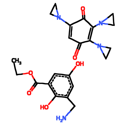 CCOC(=O)c1cc(O)cc(CN)c1O.O=C1C=C(N2CC2)C(=O)C(N2CC2)=C1N1CC1